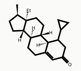 CC[C@]12CC[C@H]3[C@@H](CCC4=CC(=O)CC(C5CC5)[C@@H]43)[C@@H]1CC[C@H]2C